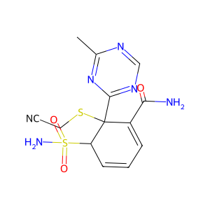 Cc1ncnc(C2(SCC#N)C(C(N)=O)=CC=CC2S(N)(=O)=O)n1